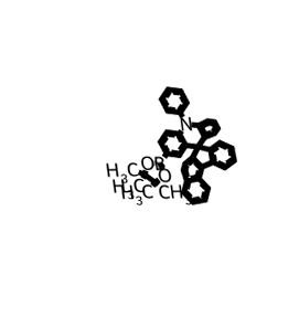 CC1(C)OB(c2ccc3c(c2)C2(c4ccccc4-c4c2ccc2ccccc42)c2ccccc2N3c2ccccc2)OC1(C)C